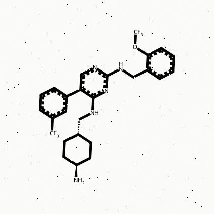 N[C@H]1CC[C@H](CNc2nc(NCc3ccccc3OC(F)(F)F)ncc2-c2cccc(C(F)(F)F)c2)CC1